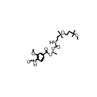 COc1cc(C(=O)OC(C)OC(=O)NCCC(C)(C)OCCC(C)(C)OC)ccc1NC=O